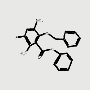 Cc1c(F)cc([N+](=O)[O-])c(OCc2ccccc2)c1C(=O)Oc1ccccc1